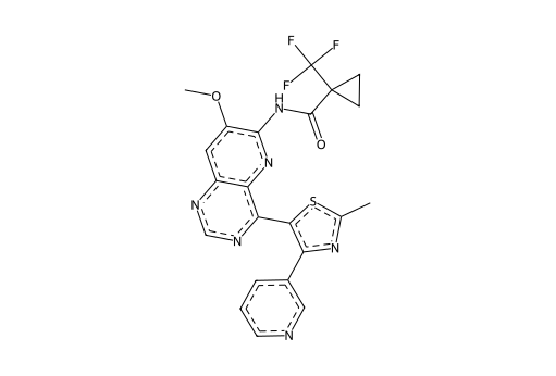 COc1cc2ncnc(-c3sc(C)nc3-c3cccnc3)c2nc1NC(=O)C1(C(F)(F)F)CC1